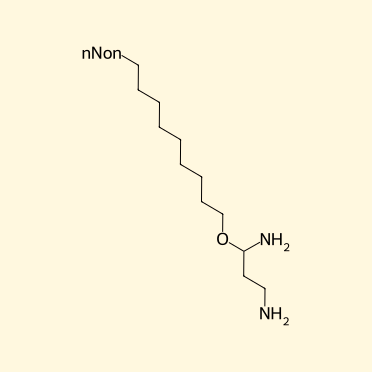 CCCCCCCCCCCCCCCCCCOC(N)CCN